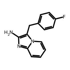 Nc1nc2ccccn2c1Cc1ccc(F)cc1